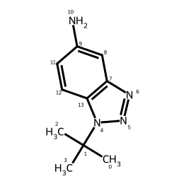 CC(C)(C)n1nnc2cc(N)ccc21